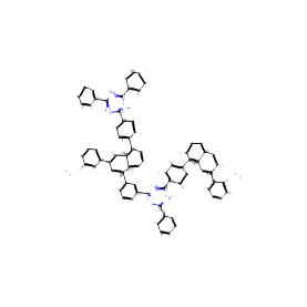 N#Cc1cccc(-c2cc(-c3cccc(-c4nc(-c5ccccc5)nc(-c5ccc(-c6cccc7ccc(-c8ccccc8C#N)cc67)cc5)n4)c3)c3cccc(-c4ccc(-c5nc(-c6ccccc6)nc(-c6ccccc6)n5)cc4)c3c2)c1